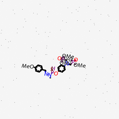 COc1ccc(/C=N/N(C)[PH](=S)Oc2ccc(N(CP(=O)(OC)OC)CP(=O)(OC)OC)cc2)cc1